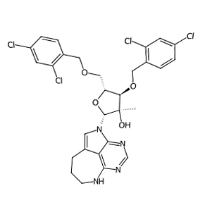 C[C@@]1(O)[C@H](OCc2ccc(Cl)cc2Cl)[C@@H](COCc2ccc(Cl)cc2Cl)O[C@H]1n1cc2c3c(ncnc31)NCCC2